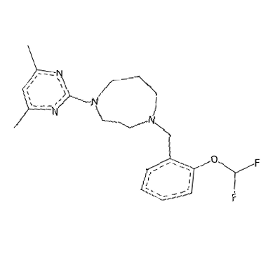 Cc1cc(C)nc(N2CCCN(Cc3ccccc3OC(F)F)CC2)n1